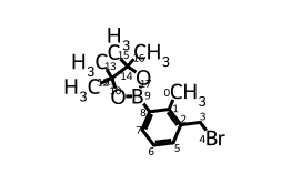 Cc1c(CBr)cccc1B1OC(C)(C)C(C)(C)O1